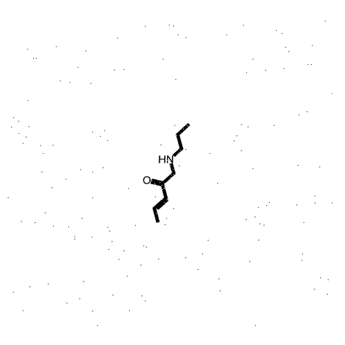 CC=CC(=O)CNCCC